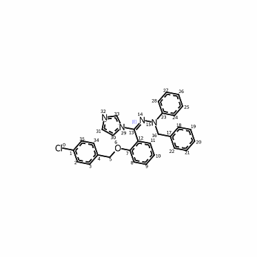 Clc1ccc(COc2ccccc2/C(=N\N(Cc2ccccc2)c2ccccc2)n2ccnc2)cc1